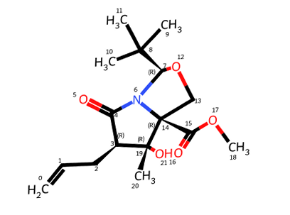 C=CC[C@H]1C(=O)N2[C@@H](C(C)(C)C)OC[C@]2(C(=O)OC)[C@]1(C)O